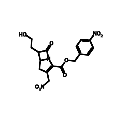 O=C(OCc1ccc([N+](=O)[O-])cc1)C1=C(C[N+](=O)[O-])CC2C(CCO)C(=O)N12